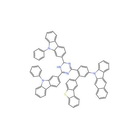 c1ccc(-n2c3ccccc3c3ccc(C4=NC(c5ccc(-n6c7ccccc7c7cc8ccccc8cc76)cc5-c5ccc6sc7ccccc7c6c5)=NC(c5ccc6c7ccccc7n(-c7ccccc7)c6c5)N4)cc32)cc1